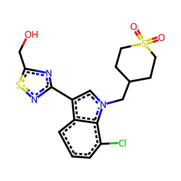 O=S1(=O)CCC(Cn2cc(-c3nsc(CO)n3)c3cccc(Cl)c32)CC1